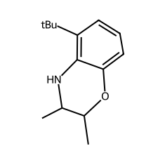 CC1Nc2c(cccc2C(C)(C)C)OC1C